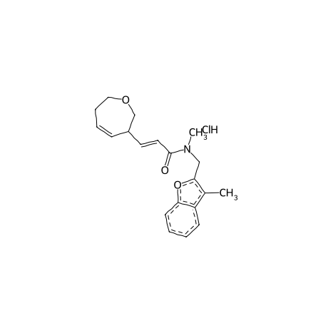 Cc1c(CN(C)C(=O)C=CC2C=CCCOC2)oc2ccccc12.Cl